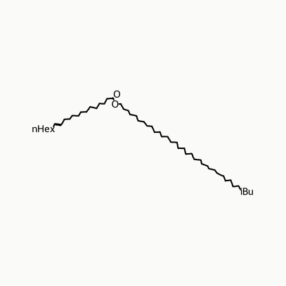 CCCCCCC=CCCCCCCCCCCCC(=O)OCCCCCCCCCCCCCCCCCCCCCCCCCCCCCCCC(C)CC